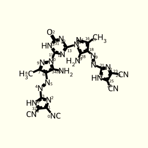 [C-]#[N+]c1nc(N=Nc2c(C)nn(-c3nc(-n4nc(C)c(N=Nc5nc(C#N)c(C#N)[nH]5)c4N)nc(=O)[nH]3)c2N)[nH]c1[N+]#[C-]